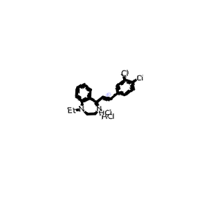 CCN1CCN=C(/C=C/c2ccc(Cl)c(Cl)c2)c2ccccc21.Cl.Cl